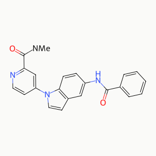 CNC(=O)c1cc(-n2ccc3cc(NC(=O)c4ccccc4)ccc32)ccn1